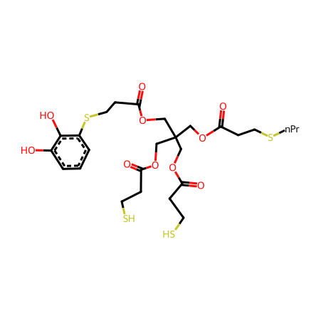 CCCSCCC(=O)OCC(COC(=O)CCS)(COC(=O)CCS)COC(=O)CCSc1cccc(O)c1O